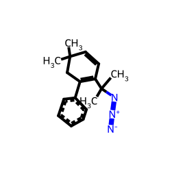 CC1(C)C=CC(C(C)(C)N=[N+]=[N-])=C(c2ccccc2)C1